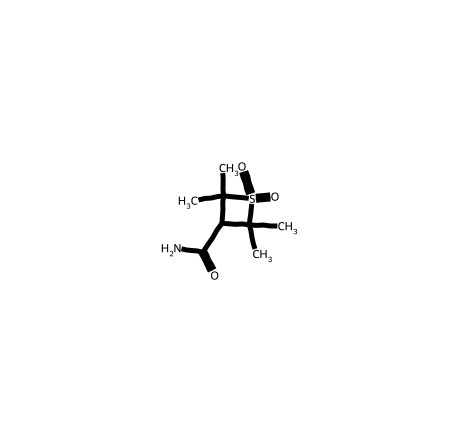 CC1(C)C(C(N)=O)C(C)(C)S1(=O)=O